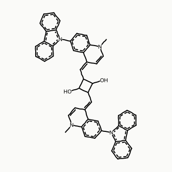 CN1C=C/C(=C\C2C(O)C(/C=C3\C=CN(C)c4ccc(-n5c6ccccc6c6ccccc65)cc43)C2O)c2cc(-n3c4ccccc4c4ccccc43)ccc21